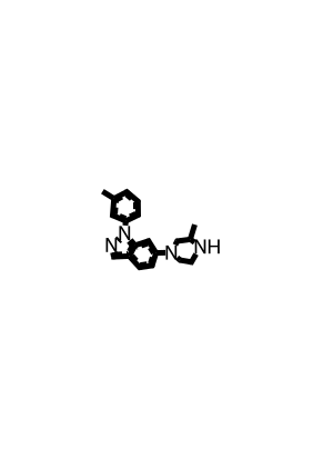 Cc1cccc(-n2ncc3ccc(N4CCNC(C)C4)cc32)c1